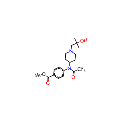 COC(=O)c1ccc(N(C(=O)C(F)(F)F)C2CCN(CC(C)(C)O)CC2)cc1